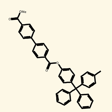 COC(=O)c1ccc(-c2ccc(C(=O)Oc3ccc(C(c4ccccc4)(c4ccccc4)c4ccc(C)cc4)cc3)cc2)cc1